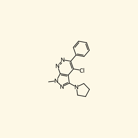 Cn1nc(N2CCCC2)c2c(Cl)c(-c3ccccc3)nnc21